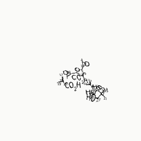 C(OCC1CO1)C1CO1.C=C(C)C(=O)O.C=C(C)C(=O)O.C=C(C)C(=O)O.CC(CO)(CO)CO